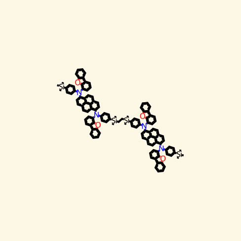 C[Si](C)(C)c1ccc(N(c2ccc3ccc4c(N(c5ccc([Si](C)(C)CC[Si](C)(C)c6ccc(N(c7ccc8ccc9c(N(c%10ccc([Si](C)(C)C)cc%10)c%10cccc%11c%10oc%10ccccc%10%11)ccc%10ccc7c8c%109)c7cccc8c7oc7ccccc78)cc6)cc5)c5cccc6c5oc5ccccc56)ccc5ccc2c3c54)c2cccc3c2oc2ccccc23)cc1